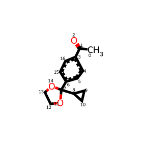 CC(=O)c1ccc(C2(C3CC3)OCCO2)cc1